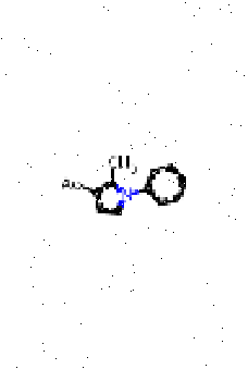 CC(=O)c1ccn(-c2ccccc2)c1C